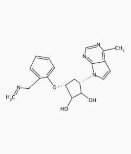 C=NCc1ccccc1O[C@@H]1C[C@H](n2ccc3c(C)ncnc32)C(O)C1O